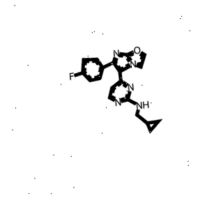 Fc1ccc(-c2nc3occn3c2-c2ccnc(NCC3CC3)n2)cc1